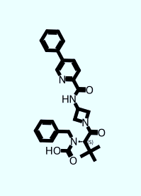 CC(C)(C)[C@@H](C(=O)N1CC(NC(=O)c2ccc(-c3ccccc3)cn2)C1)N(Cc1ccccc1)C(=O)O